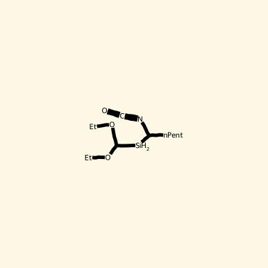 CCCCCC(N=C=O)[SiH2]C(OCC)OCC